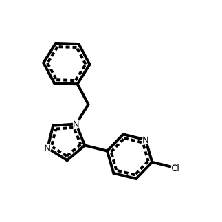 Clc1ccc(-c2cncn2Cc2ccccc2)cn1